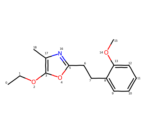 CCOc1oc(CCc2ccccc2OC)nc1C